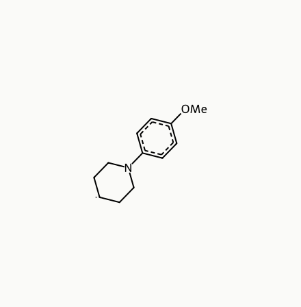 COc1ccc(N2CC[CH]CC2)cc1